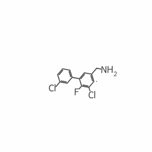 NCc1[c]c(Cl)c(F)c(-c2cccc(Cl)c2)c1